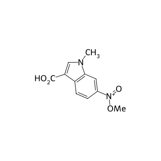 CO[N+](=O)c1ccc2c(C(=O)O)cn(C)c2c1